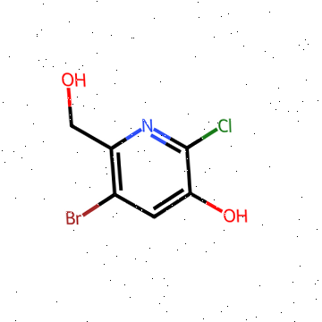 OCc1nc(Cl)c(O)cc1Br